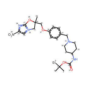 CCC(C)(C)OC(=O)NC1CCN(Cc2ccc(OCC3(C)Cn4cc([N+](=O)[O-])nc4O3)cc2)CC1